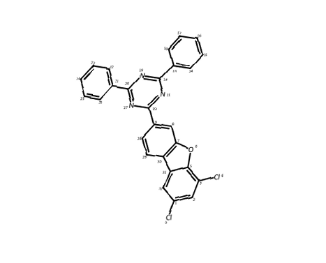 Clc1cc(Cl)c2oc3cc(-c4nc(-c5ccccc5)nc(-c5ccccc5)n4)ccc3c2c1